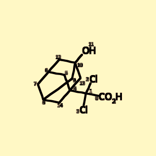 O=C(O)C(Cl)(Cl)C12CC3CC(CC(O)(C3)C1)C2